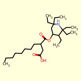 CCCCCCCCC(CC(=O)O)C(=O)OC1CC(CC)(CC)NC(CC)(CC)C1CC